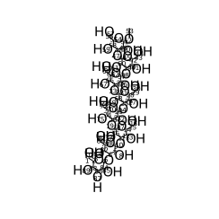 OCC1OC(OC2C(O)[C@H](OC3C(O)C(CO)OC(OC4C(O)[C@H](OC5C(O)C(CO)OC(OC6C(O)[C@H](OC7C(O)C(CO)OC(OC8C(O)[C@H](OI)OC(CO)[C@@H]8O)C7O)OC(CO)[C@@H]6O)C5O)OC(CO)[C@@H]4O)C3O)OC(CO)[C@@H]2O)C(O)C(O)C1O